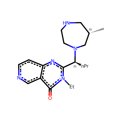 CCC[C@@H](c1nc2ccncc2c(=O)n1CC)N1CCNC[C@H](C)C1